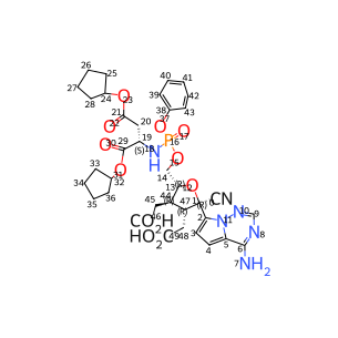 N#C[C@@]1(c2ccc3c(N)ncnn23)O[C@@H](COP(=O)(N[C@@H](CC(=O)OC2CCCC2)C(=O)OC2CCCC2)Oc2ccccc2)[C@H](CC(=O)O)[C@H]1CC(=O)O